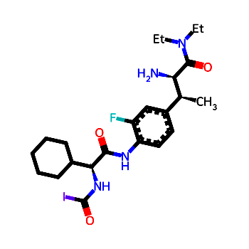 CCN(CC)C(=O)[C@H](N)[C@@H](C)c1ccc(NC(=O)[C@@H](NC(=O)I)C2CCCCC2)c(F)c1